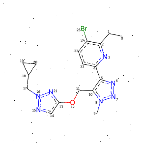 CCc1nc(-c2nnn(C)c2COc2cnn(CC3CC3)n2)ccc1Br